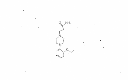 CCOc1ccccc1N1CCN(CCC(N)=O)CC1